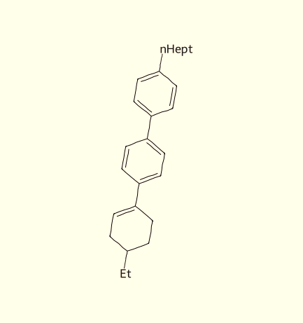 CCCCCCCc1ccc(-c2ccc(C3=CCC(CC)CC3)cc2)cc1